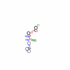 Cl.Cl.O=C(NC1CCN(C[C@@H]2CCCN3CCCC[C@H]23)CC1)c1cc2c(OCc3coc4cc(Cl)ccc34)cccc2[nH]1